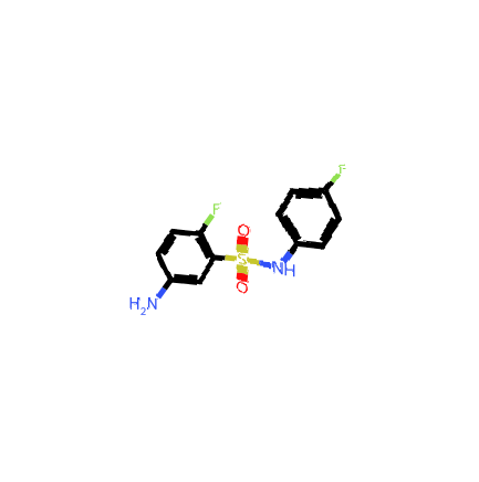 Nc1ccc(F)c(S(=O)(=O)Nc2ccc(F)cc2)c1